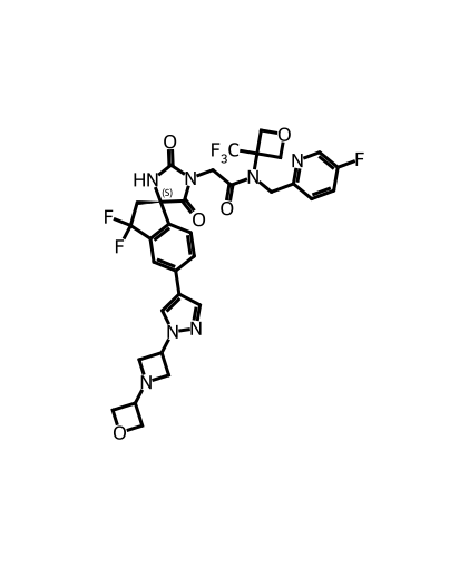 O=C1N[C@]2(CC(F)(F)c3cc(-c4cnn(C5CN(C6COC6)C5)c4)ccc32)C(=O)N1CC(=O)N(Cc1ccc(F)cn1)C1(C(F)(F)F)COC1